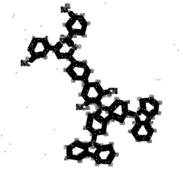 N#Cc1cccc(-c2cc(-c3ccc(-c4cc(C#N)c(-n5c6ccc(-n7c8ccccc8c8ccccc87)cc6c6cc(-n7c8ccccc8c8ccccc87)ccc65)c(C#N)c4)cc3)nc(-c3cccc(C#N)c3)n2)c1